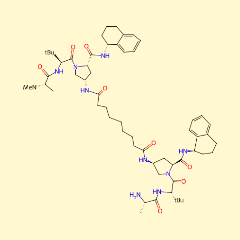 CN[C@@H](C)C(=O)N[C@H](C(=O)N1C[C@@H](NC(=O)CCCCCCCC(=O)N[C@H]2C[C@@H](C(=O)N[C@@H]3CCCc4ccccc43)N(C(=O)[C@@H](NC(=O)[C@H](C)N)C(C)(C)C)C2)C[C@H]1C(=O)N[C@@H]1CCCc2ccccc21)C(C)(C)C